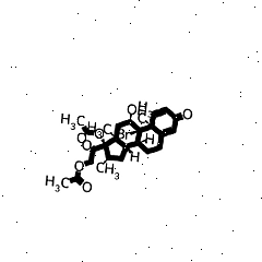 CC(=O)OCC(=O)[C@@]1(OC(C)=O)[C@@H](C)C[C@H]2[C@@H]3CCC4=CC(=O)C=C[C@]4(C)[C@@]3(Br)[C@@H](O)C[C@@]21C